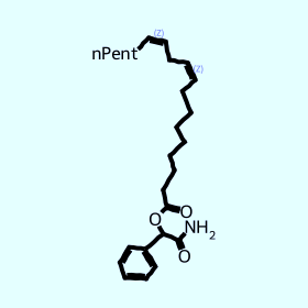 CCCCC/C=C\C/C=C\CCCCCCCC(=O)OC(C(N)=O)c1ccccc1